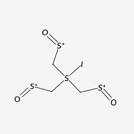 O=[S+]CS(I)(C[S+]=O)C[S+]=O